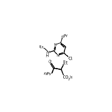 CCCC(=O)C(CC)C(=O)O.CCCc1cc(Cl)nc(NCC)n1